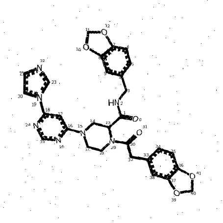 O=C(NCc1ccc2c(c1)OCO2)C1CN(c2cc(-n3ccnc3)ncn2)CCN1C(=O)Cc1ccc2c(c1)OCO2